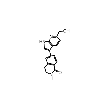 O=C1NCCc2cc(-c3c[nH]c4nc(CO)ccc34)ccc21